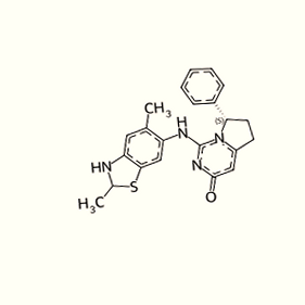 Cc1cc2c(cc1Nc1nc(=O)cc3n1[C@H](c1ccccc1)CC3)SC(C)N2